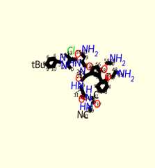 Cc1nc(-c2ccc(C(C)(C)C)cc2)nc(Cl)c1C(=O)N[C@@H](CCN)C(=O)N(C)[C@@H]1C(=O)N[C@@H](C)C(=O)N[C@H](C(=O)NCC#N)Cc2ccc(OCCN)c(c2)-c2cc1ccc2OCCN